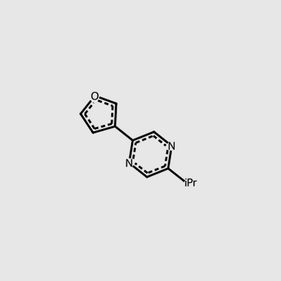 CC(C)c1cnc(-c2ccoc2)cn1